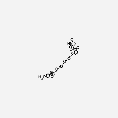 Cc1ccc(S(=O)(=O)OCCOCCOCCOCCOCCSc2cccc3c2C(=O)N(C2CCC(=O)NC2=O)C3=O)cc1